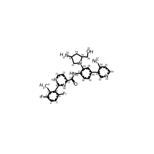 Cc1c(F)ccc(F)c1-c1nccc(C(=O)Nc2ccc(-c3cnccc3C#N)cc2N2CC(N)CC2CO)n1